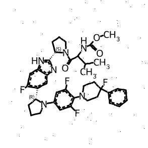 COC(=O)NC(C(=O)N1CCC[C@H]1c1nc2cc([C@H]3CCCN3c3cc(F)c(N4CCC(F)(c5ccccc5)CC4)c(F)c3)c(F)cc2[nH]1)C(C)C